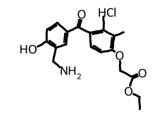 CCOC(=O)COc1ccc(C(=O)c2ccc(O)c(CN)c2)c(C)c1C.Cl